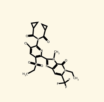 CCn1c(C(F)(F)F)cc2nc(-c3nc(N(C(=O)C4CC4)C(=O)C4CC4)c(Cl)cc3S(=O)(=O)CC)n(C)c2c1=O